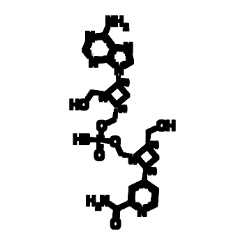 NC(=O)c1cc([C@@H]2C[C@H](CO)[C@H]2COP(=O)(S)OC[C@H]2C[C@@H](n3cnc4c(N)ncnc43)[C@@H]2CO)ccn1